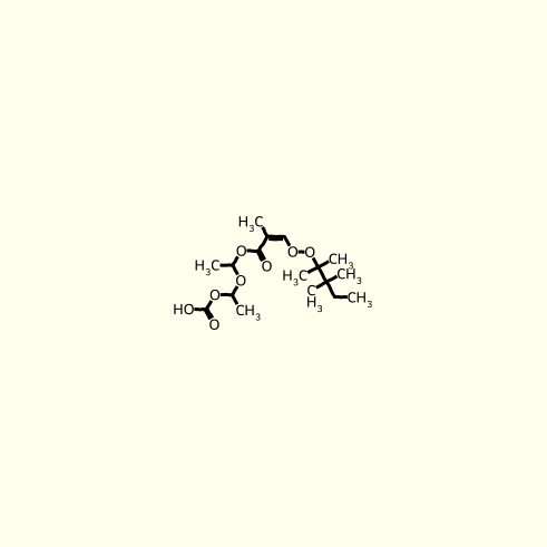 CCC(C)(C)C(C)(C)OOC=C(C)C(=O)OC(C)OC(C)OC(=O)O